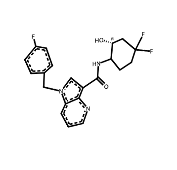 O=C(NC1CCC(F)(F)C[C@H]1O)c1cn(Cc2ccc(F)cc2)c2cccnc12